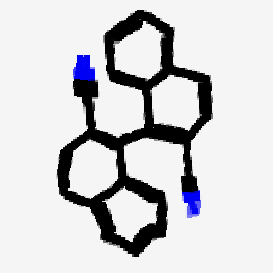 N#Cc1ccc2ccccc2c1-c1c(C#N)ccc2ccccc12